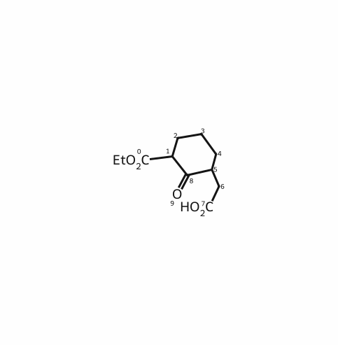 CCOC(=O)C1CCCC(CC(=O)O)C1=O